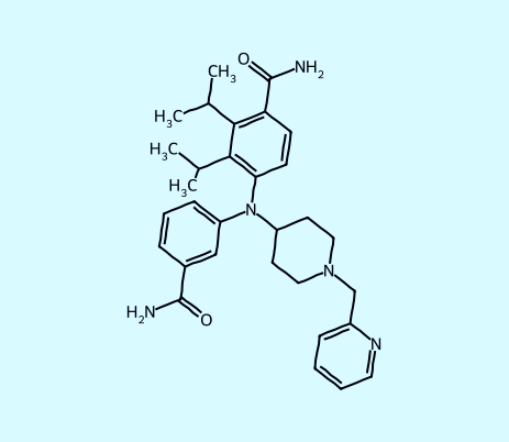 CC(C)c1c(C(N)=O)ccc(N(c2cccc(C(N)=O)c2)C2CCN(Cc3ccccn3)CC2)c1C(C)C